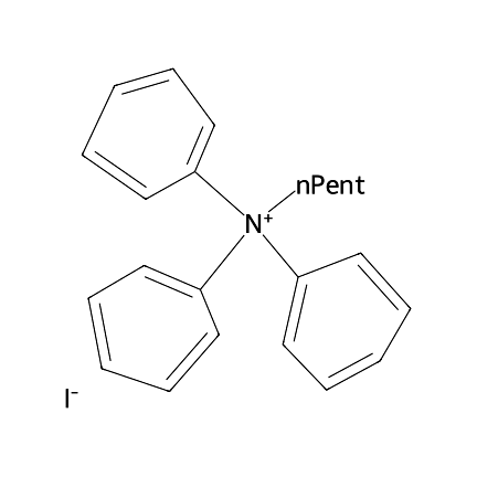 CCCCC[N+](c1ccccc1)(c1ccccc1)c1ccccc1.[I-]